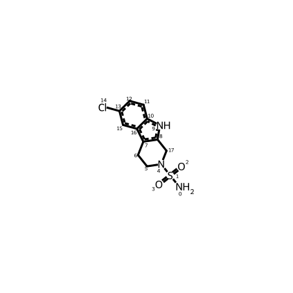 NS(=O)(=O)N1CCc2c([nH]c3ccc(Cl)cc23)C1